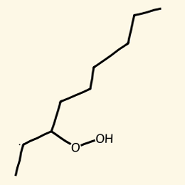 C[CH]C(CCCCCC)OO